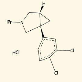 CC(C)N1C[C@@H]2C[C@]2(c2ccc(Cl)c(Cl)c2)C1.Cl